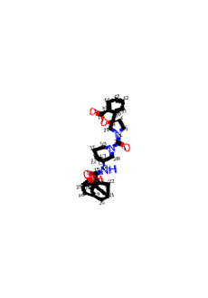 O=C1O[C@]2(CCN(C(=O)N3CCC[C@H](NC(=O)C45CC6CC(C4)C(O)C(C6)C5)C3)C2)c2ccccc21